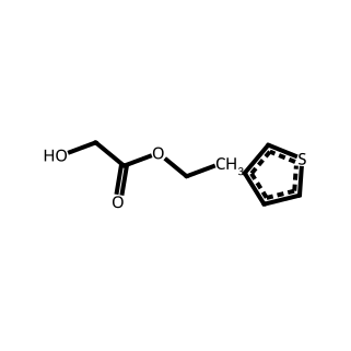 CCOC(=O)CO.c1ccsc1